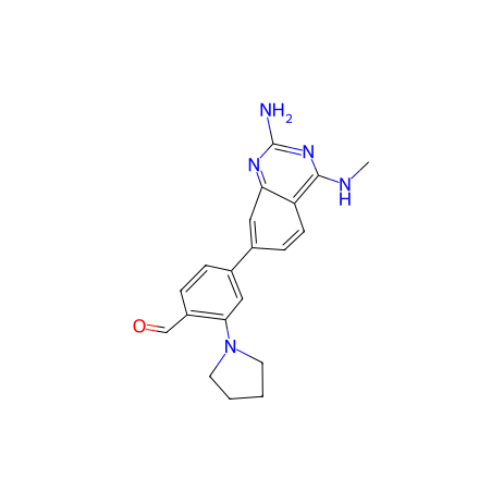 CNc1nc(N)nc2cc(-c3ccc(C=O)c(N4CCCC4)c3)ccc12